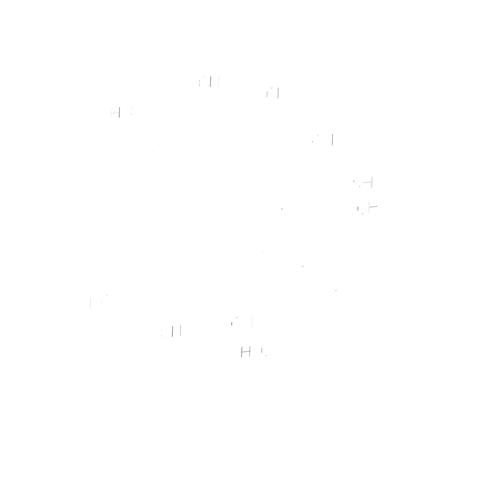 CC1CCC(C)C(C)C(C)C2C3(CC3C)C(C)C2(CS)C(C)C(C)C1C